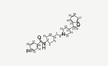 O=C(NC1CCC(CCN2CCC(c3coc4ccccc34)CC2)CC1)c1ccc(F)cc1